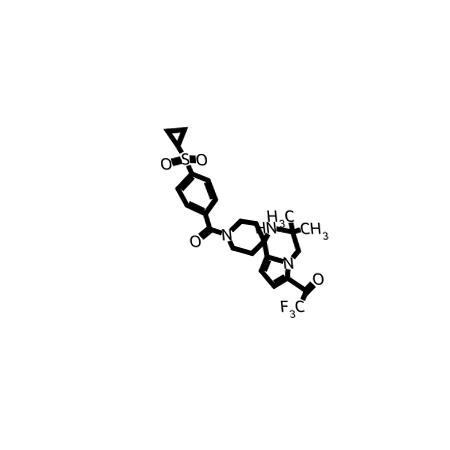 CC1(C)Cn2c(C(=O)C(F)(F)F)ccc2C2(CCN(C(=O)c3ccc(S(=O)(=O)C4CC4)cc3)CC2)N1